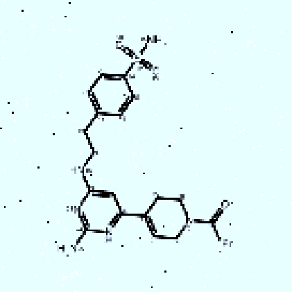 CC(C)C(=O)N1CC=C(c2cc(NCCc3ccc(S(N)(=O)=O)cc3)nc(N)n2)CC1